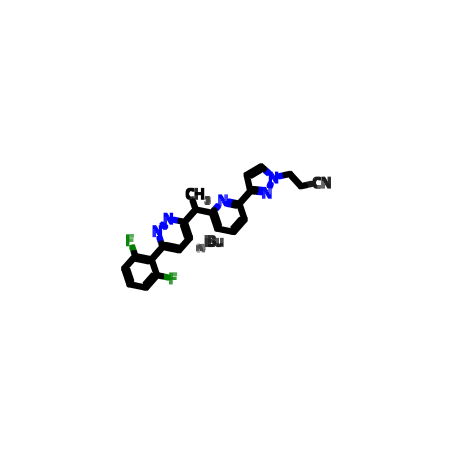 CC[C@H](C)c1cc(-c2c(F)cccc2F)nnc1C(C)c1cccc(-c2ccn(CCC#N)n2)n1